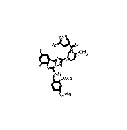 COc1ccc(CNc2nc3c(F)cc(F)cc3c3nc([C@@H]4CC[C@H](C)N(C(=O)c5cnnc(C(C)=O)c5)C4)nn23)c(OC)c1